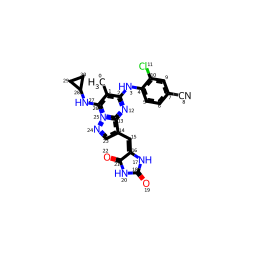 Cc1c(Nc2ccc(C#N)cc2Cl)nc2c(C=C3NC(=O)NC3=O)cnn2c1NC1CC1